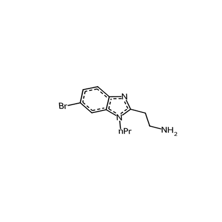 CCCn1c(CCN)nc2ccc(Br)cc21